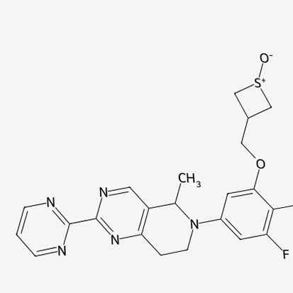 CC1c2cnc(-c3ncccn3)nc2CCN1c1cc(F)c(F)c(OCC2C[S+]([O-])C2)c1